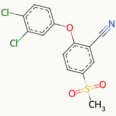 CS(=O)(=O)c1ccc(Oc2ccc(Cl)c(Cl)c2)c(C#N)c1